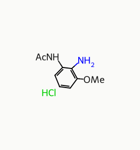 COc1cccc(NC(C)=O)c1N.Cl